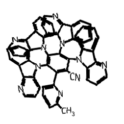 Cc1cccc(-c2c(C#N)c(-n3c4ccccc4c4ncccc43)c(-n3c4ccccc4c4ncccc43)c(-n3c4ccccc4c4ncccc43)c2-n2c3ccccc3c3ncccc32)n1